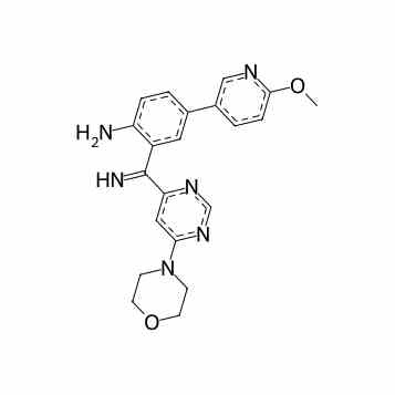 COc1ccc(-c2ccc(N)c(C(=N)c3cc(N4CCOCC4)ncn3)c2)cn1